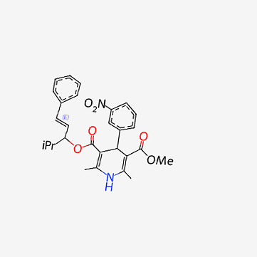 COC(=O)C1=C(C)NC(C)=C(C(=O)OC(/C=C/c2ccccc2)C(C)C)C1c1cccc([N+](=O)[O-])c1